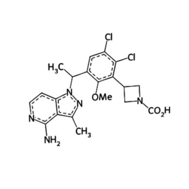 COc1c(C(C)n2nc(C)c3c(N)nccc32)cc(Cl)c(Cl)c1C1CN(C(=O)O)C1